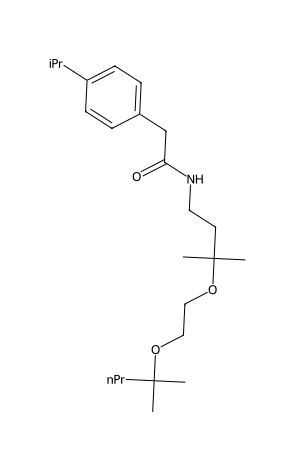 CCCC(C)(C)OCCOC(C)(C)CCNC(=O)Cc1ccc(C(C)C)cc1